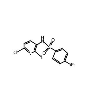 CC(C)c1ccc(S(=O)(=O)Nc2ccc(Cl)nc2I)cc1